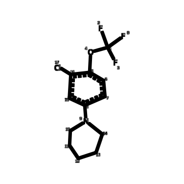 FC(F)(F)Oc1ccc(N2CCCCC2)cc1Cl